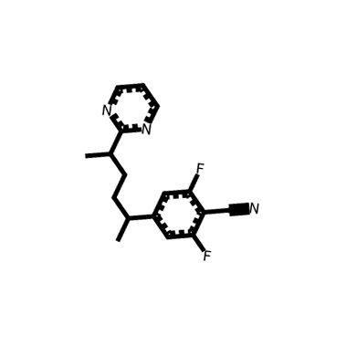 CC(CCC(C)c1ncccn1)c1cc(F)c(C#N)c(F)c1